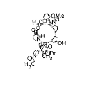 C=CC(=O)N1CC[C@H](C(=O)N(C)[C@H](C(=O)N[C@H]2Cc3cc(O)cc(c3)-c3ccc4c(c3)c(c(-c3ccccc3OC)n4CC)CC(C)(C)COC(=O)[C@@H]3CCCN(N3)C2=O)C(C)C)C1